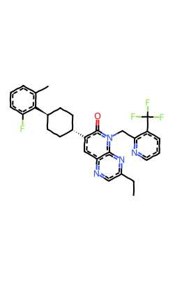 CCc1cnc2cc([C@H]3CC[C@H](c4c(C)cccc4F)CC3)c(=O)n(Cc3ncccc3C(F)(F)F)c2n1